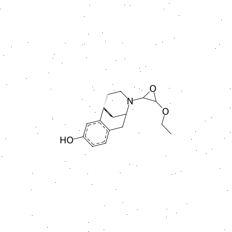 CCOC1OC1N1CC[C@@]23CCCCC2C1Cc1ccc(O)cc13